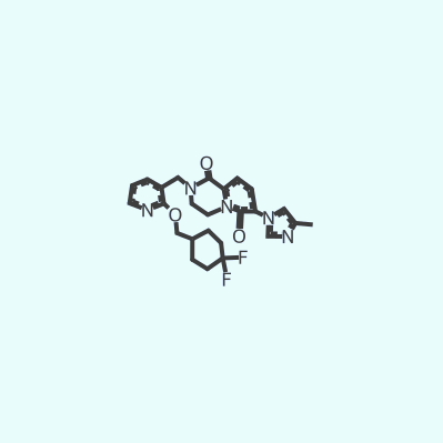 Cc1cn(-c2ccc3n(c2=O)CCN(Cc2cccnc2OCC2CCC(F)(F)CC2)C3=O)cn1